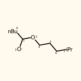 CCCCC([O])OCCCC(C)C